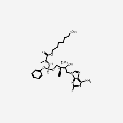 C#C[C@](COP(=O)(N[C@@H](C)C(=O)OCCCCCCCCCCCCCCCC)Oc1ccccc1)(OC)[C@@H](O)Cn1cnc2c(N)nc(F)nc21